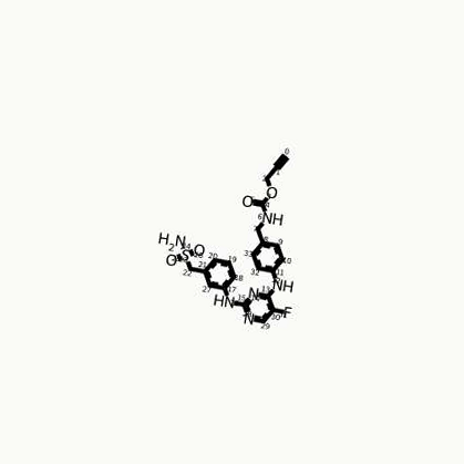 C#CCOC(=O)NCc1ccc(Nc2nc(Nc3cccc(CS(N)(=O)=O)c3)ncc2F)cc1